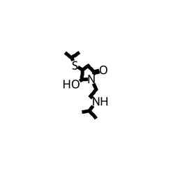 CC(C)NCCN1C(=O)CC(SC(C)C)C1O